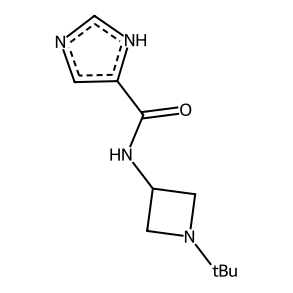 CC(C)(C)N1CC(NC(=O)c2cnc[nH]2)C1